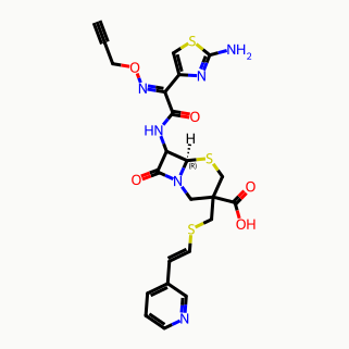 C#CCON=C(C(=O)NC1C(=O)N2CC(CSC=Cc3cccnc3)(C(=O)O)CS[C@H]12)c1csc(N)n1